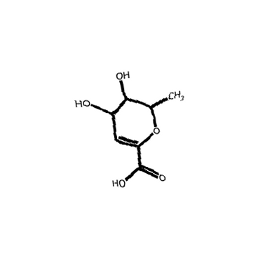 CC1OC(C(=O)O)=CC(O)C1O